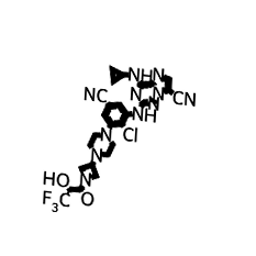 N#Cc1cc(Nc2nc(NC3CC3)c3ncc(C#N)n3n2)c(Cl)c(N2CCN(C3CN(C(=O)[C@@H](O)C(F)(F)F)C3)CC2)c1